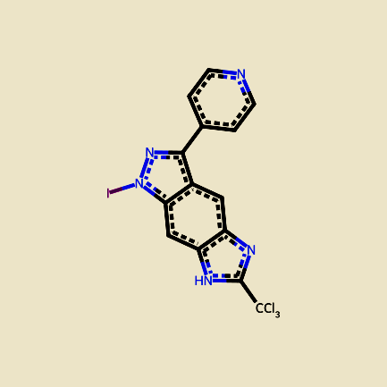 ClC(Cl)(Cl)c1nc2cc3c(-c4ccncc4)nn(I)c3cc2[nH]1